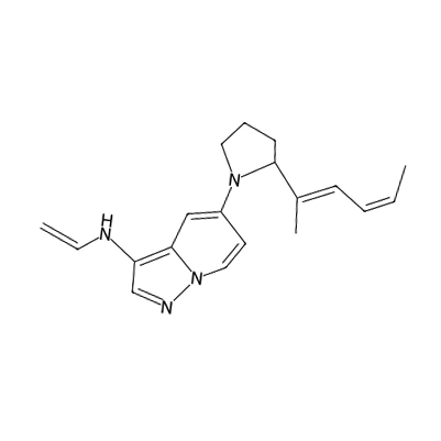 C=CNc1cnn2ccc(N3CCCC3/C(C)=C/C=C\C)cc12